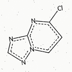 Clc1ccn2ncnc2n1